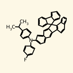 CC(C)c1ccc(N(c2ccc(F)cc2)c2ccc3cc4c(cc3c2)C2(c3ccccc3-c3ccccc32)c2c-4ccc3ccccc23)cc1